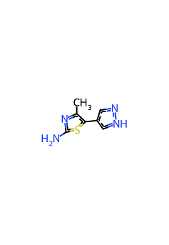 Cc1nc(N)sc1-c1cn[nH]c1